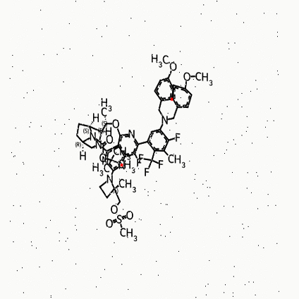 COc1ccc(CN(Cc2ccc(OC)cc2)c2cc(-c3nc4c5c(nc(N6CC[C@@]6(C)COS(C)(=O)=O)nc5c3F)N3C[C@H]5CC[C@@H]([C@H]3[C@H](C)O4)N5C(=O)OC(C)(C)C)c(C(F)(F)F)c(C)c2F)cc1